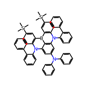 C[Si](C)(C)c1ccc2c(c1)B1c3cc([Si](C)(C)C)ccc3N(c3ccccc3-c3ccccc3)c3cc(N(c4ccccc4)c4ccccc4)cc(c31)N2c1ccccc1-c1ccccc1